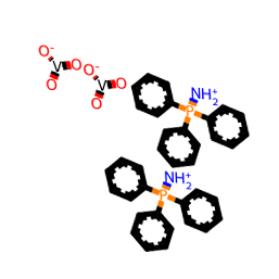 [NH2+]=P(c1ccccc1)(c1ccccc1)c1ccccc1.[NH2+]=P(c1ccccc1)(c1ccccc1)c1ccccc1.[O]=[V](=[O])[O-].[O]=[V](=[O])[O-]